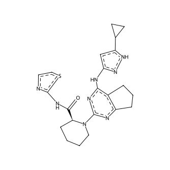 O=C(Nc1nccs1)[C@@H]1CCCCN1c1nc2c(c(Nc3cc(C4CC4)[nH]n3)n1)CCC2